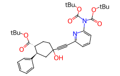 CC(C)(C)OC(=O)[C@@H]1CCC(O)(C#Cc2cccc(N(C(=O)OC(C)(C)C)C(=O)OC(C)(C)C)n2)C[C@H]1c1ccccc1